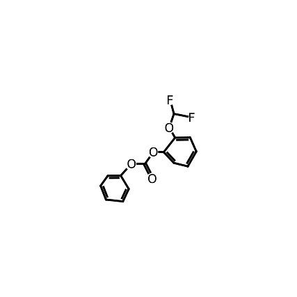 O=C(Oc1ccccc1)Oc1ccccc1OC(F)F